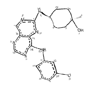 C[C@]1(O)CC[C@@H](Nc2ncc3ncnc(Nc4cccc(Cl)c4)c3n2)CC1